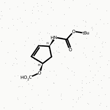 CC(C)(C)OC(=O)N[C@@H]1C=C[C@H](OC(=O)O)C1